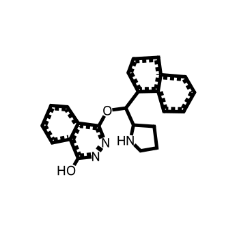 Oc1nnc(OC(c2cccc3ccccc23)C2CCCN2)c2ccccc12